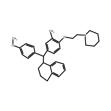 COc1ccc(C(c2ccc(OCCN3CCCCC3)c(C)c2)C2CCCc3ccccc32)cc1